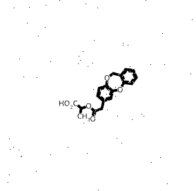 CC(OC(=O)Cc1ccc2c(c1)Oc1ccccc1CO2)C(=O)O